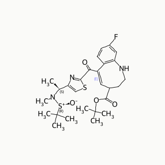 C[C@@H](c1csc(C(=O)/C2=C/C(C(=O)OC(C)(C)C)CCNc3cc(F)ccc32)n1)N(C)[S@@+]([O-])C(C)(C)C